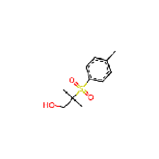 Cc1ccc(S(=O)(=O)C(C)(C)CO)cc1